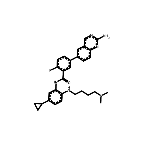 CN(C)CCCCNc1ccc(C2CC2)cc1NC(=O)c1cc(-c2ccc3nc(N)ncc3c2)ccc1F